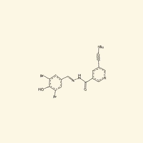 CCCCC#Cc1cncc(C(=O)NN=Cc2cc(Br)c(O)c(Br)c2)c1